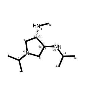 CN[C@H]1CN(C(C)C)C[C@@H]1NC(C)C